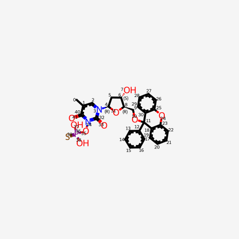 Cc1cn([C@H]2C[C@H](O)[C@@H](COC3(c4ccccc4)c4ccccc4Oc4ccccc43)O2)c(=O)n(OP(O)(O)=S)c1=O